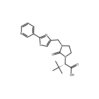 CC(C)(C)[C@@H](C(=O)O)N1CCN(Cc2csc(-c3cccnc3)n2)C1=O